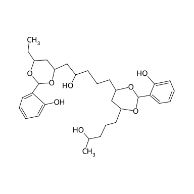 CCC1CC(CC(O)CCCC2CC(CCCC(C)O)OC(c3ccccc3O)O2)OC(c2ccccc2O)O1